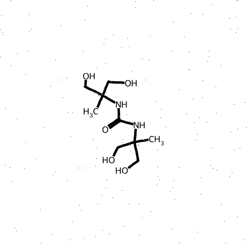 CC(CO)(CO)NC(=O)NC(C)(CO)CO